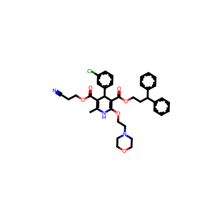 CC1=C(C(=O)OCCC#N)C(c2cccc(Cl)c2)C(C(=O)OCCC(c2ccccc2)c2ccccc2)=C(OCCN2CCOCC2)N1